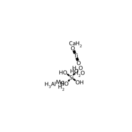 O.O.O[Si](O)(O)O.[AlH3].[CaH2].[MgH2].[O]=[Ti]=[O]